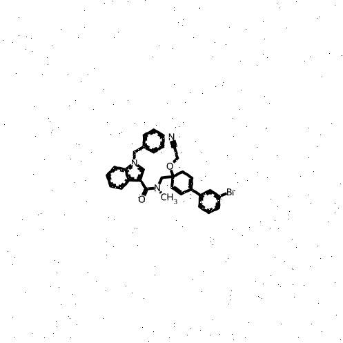 CN(CC1(OCC#N)C=CC(c2cccc(Br)c2)=CC1)C(=O)c1cn(Cc2ccccc2)c2ccccc12